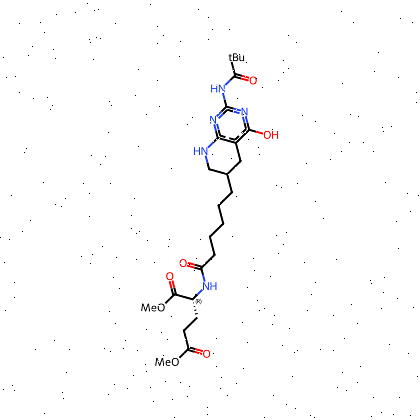 COC(=O)CC[C@@H](NC(=O)CCCCCC1CNc2nc(NC(=O)C(C)(C)C)nc(O)c2C1)C(=O)OC